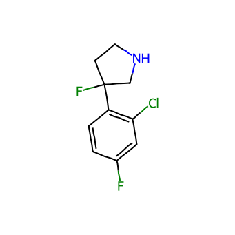 Fc1ccc(C2(F)CCNC2)c(Cl)c1